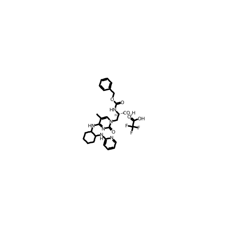 Cc1cn(C[C@H](NC(=O)OCc2ccccc2)C(=O)O)c(=O)nc1NC1CCCCC1Nc1ccccn1.O=C(O)C(F)(F)F